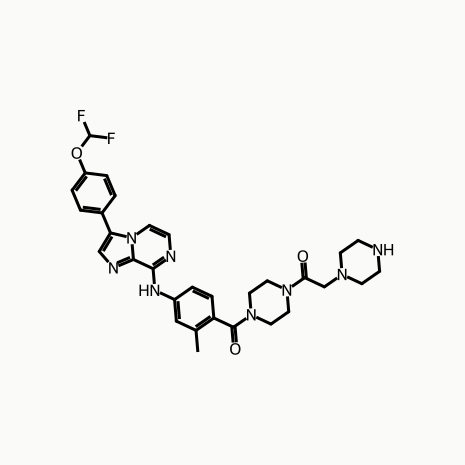 Cc1cc(Nc2nccn3c(-c4ccc(OC(F)F)cc4)cnc23)ccc1C(=O)N1CCN(C(=O)CN2CCNCC2)CC1